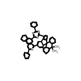 CC1(C)c2ccccc2C2(c3ccccc31)c1cccc(-c3nc(-c4ccccc4)nc(-c4ccccc4)n3)c1C1C=C(c3cc(-c4ccccc4)cc(-c4ccccc4)n3)C=CC12